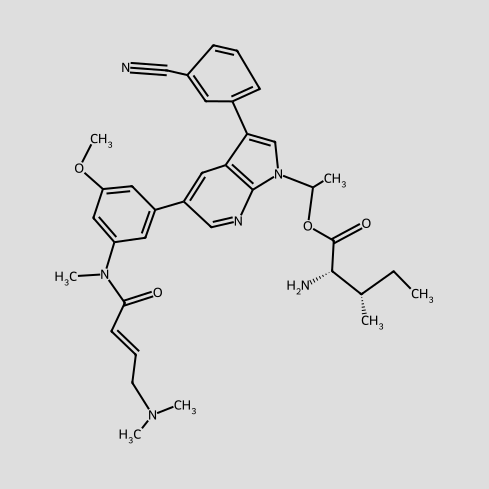 CC[C@H](C)[C@H](N)C(=O)OC(C)n1cc(-c2cccc(C#N)c2)c2cc(-c3cc(OC)cc(N(C)C(=O)/C=C/CN(C)C)c3)cnc21